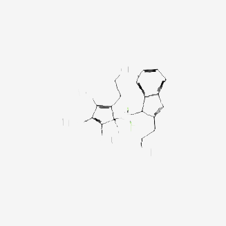 CCCC1=Cc2ccccc2[CH]1[Zr]([F])([F])[C]1(C)C(C)=C(C)C(C)=C1CCC